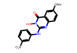 COc1ccc2nc(Nc3cccc([N+](=O)[O-])c3)n(O)c(=O)c2c1